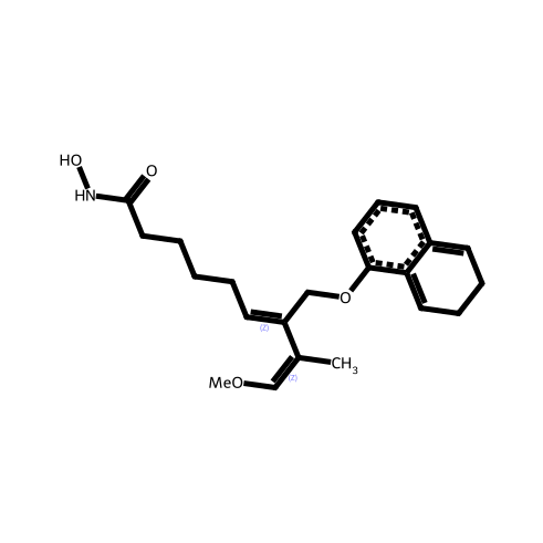 CO/C=C(C)\C(=C\CCCCC(=O)NO)COc1cccc2c1=CCCC=2